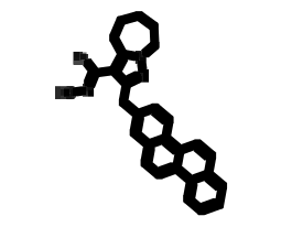 CCC(=NO)c1c(Cc2ccc3c(ccc4c5ccccc5ccc34)c2)nn2c1CCCCC2